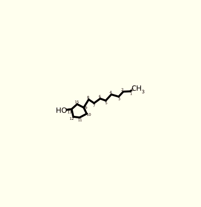 CCCCCCCCCC1CCCC(O)C1